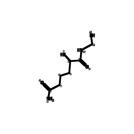 NC(=O)CCCC(S)C(=O)NCS